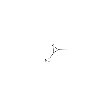 CC1SC1C#N